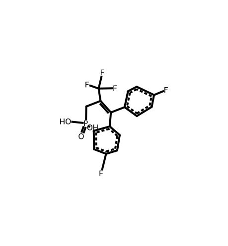 O=P(O)(O)CC(=C(c1ccc(F)cc1)c1ccc(F)cc1)C(F)(F)F